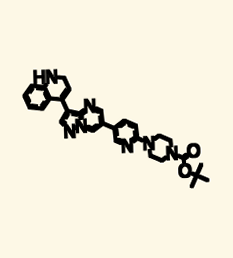 CC(C)(C)OC(=O)N1CCN(c2ccc(-c3cnc4c(C5=CCNc6ccccc65)cnn4c3)cn2)CC1